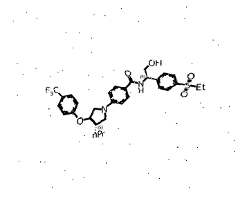 CCC[C@H]1CN(c2ccc(C(=O)N[C@@H](CO)c3ccc(S(=O)(=O)CC)cc3)cc2)CC1Oc1ccc(C(F)(F)F)cc1